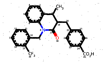 CC1c2ccccc2N(Cc2ccccc2C(F)(F)F)C(=O)C1Cc1ccc(C(=O)O)cc1